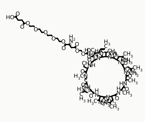 CC=CC[C@@H](C)C(OC(=O)OCOC(=O)C[C@@H](N)C(=O)OCCOCCOCCOCCOC(=O)CCC(=O)O)[C@H]1C(=O)NC(CC)C(=O)N(C)CC(=O)N(C)[C@@H](CC(C)C)C(=O)NC(C(C)C)C(=O)N(C)C(CC(C)C)C(=O)N[C@@H](C)C(=O)NC(C)C(=O)N(C)[C@H](CC(C)C)C(=O)N(C)C(CC(C)C)C(=O)N(C)C(C(C)C)C(=O)N1C